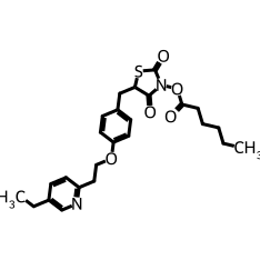 CCCCCC(=O)ON1C(=O)SC(Cc2ccc(OCCc3ccc(CC)cn3)cc2)C1=O